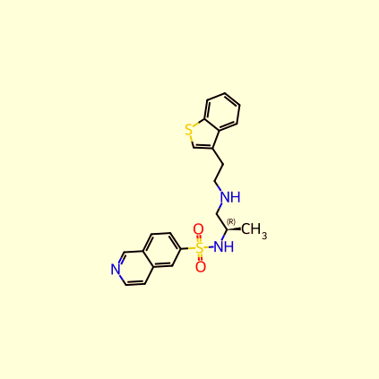 C[C@H](CNCCc1csc2ccccc12)NS(=O)(=O)c1ccc2cnccc2c1